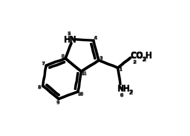 NC(C(=O)O)c1c[nH]c2ccccc12